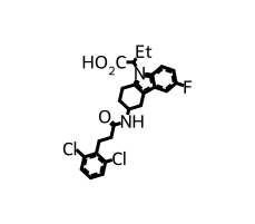 CCC(C(=O)O)n1c2c(c3cc(F)ccc31)CC(NC(=O)CCc1c(Cl)cccc1Cl)CC2